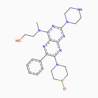 CN(CCO)c1nc(N2CCNCC2)nc2nc(N3CC[S+]([O-])CC3)c(-c3ccccc3)nc12